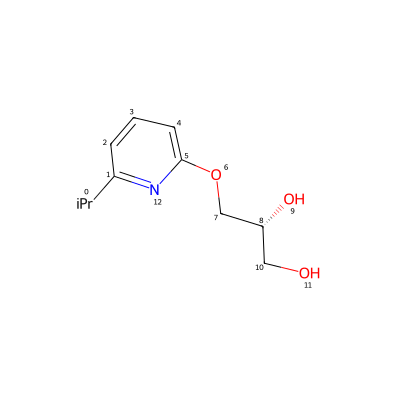 CC(C)c1cccc(OC[C@H](O)CO)n1